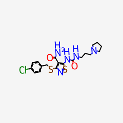 NC(=O)c1c(SCc2ccc(Cl)cc2)nsc1NC(=O)NCCCN1CCCC1